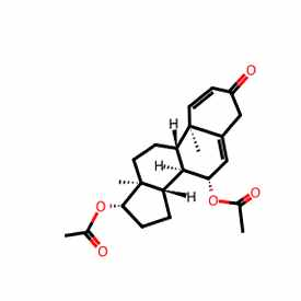 CC(=O)O[C@H]1C=C2CC(=O)C=C[C@]2(C)[C@H]2CC[C@]3(C)[C@@H](OC(C)=O)CC[C@H]3[C@H]12